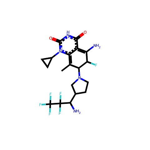 CC1=c2c(c(=O)[nH]c(=O)n2C2CC2)=C(N)C(F)C1N1CCC(C(N)C(F)(F)C(F)(F)F)C1